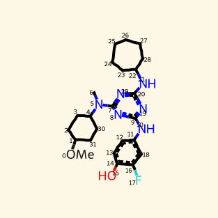 COC1CCC(N(C)c2nc(Nc3ccc(O)c(F)c3)nc(NC3CCCCCC3)n2)CC1